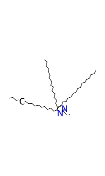 [CH2]c1nc(CCCCCCCCCCCCCCC)c(CCCCCCCCCCCCCCC)c(CCCCCCCCCCCCCCC)n1